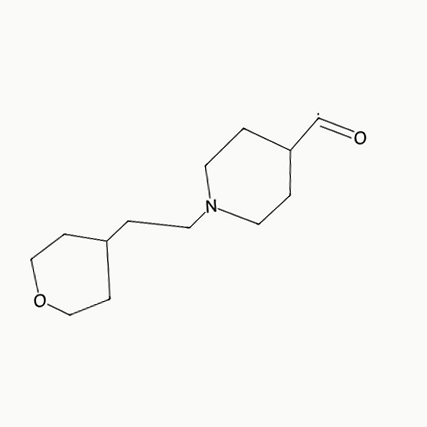 O=[C]C1CCN(CCC2CCOCC2)CC1